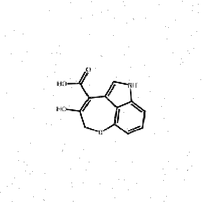 O=C(O)C1=C(O)COc2cccc3[nH]cc1c23